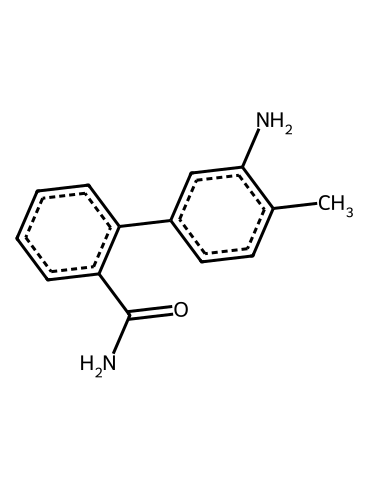 Cc1ccc(-c2ccccc2C(N)=O)cc1N